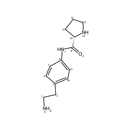 NCCc1ccc(NC(=O)[C@@H]2CCCN2)cc1